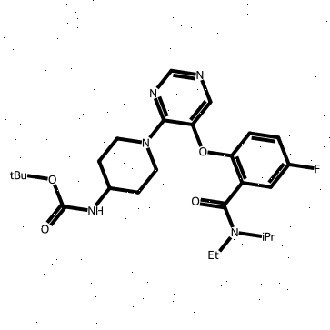 CCN(C(=O)c1cc(F)ccc1Oc1cncnc1N1CCC(NC(=O)OC(C)(C)C)CC1)C(C)C